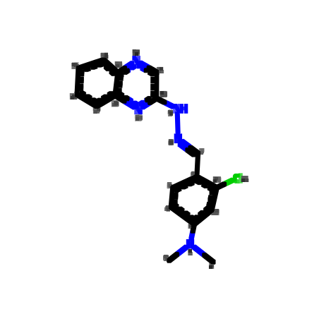 CN(C)c1ccc(/C=N/Nc2cnc3ccccc3n2)c(Cl)c1